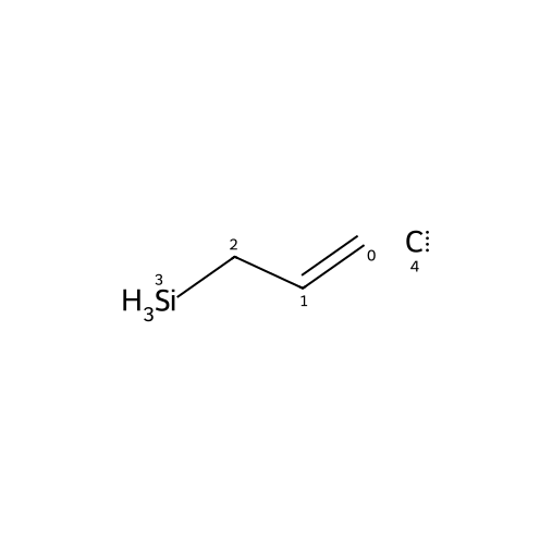 C=CC[SiH3].[C]